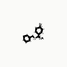 C/N=C(/SCc1ccccc1)c1ccc(Br)cc1